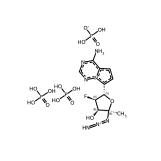 C[C@@]1(N=[N+]=N)O[C@@H](c2ccc3c(N)ncnn23)[C@H](F)[C@@H]1O.O=P(O)(O)O.O=P(O)(O)O.O=P([O-])(O)O